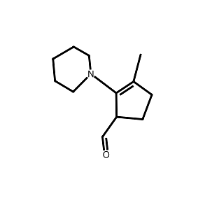 CC1=C(N2CCCCC2)C(C=O)CC1